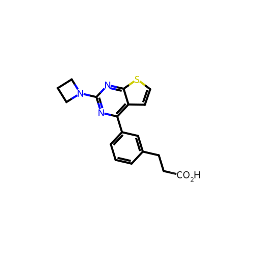 O=C(O)CCc1cccc(-c2nc(N3CCC3)nc3sccc23)c1